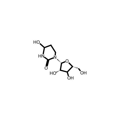 O=C1NC(O)CCN1[C@@H]1O[C@H](CO)C(O)[C@@H]1O